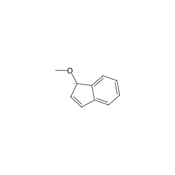 CO[C]1C=Cc2ccccc21